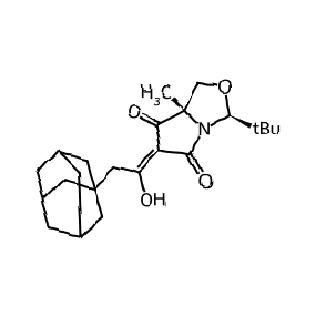 CC(C)(C)[C@@H]1OC[C@@]2(C)C(=O)/C(=C(/O)CC34CC5CC(CC(C5)C3)C4)C(=O)N12